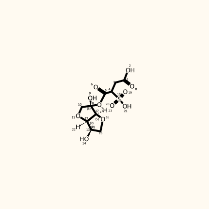 O=C(O)CC(C(=O)O[C@@]1(O)CO[C@@H]2[C@H](O)CO[C@@H]21)S(=O)(=O)O